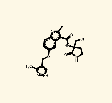 Cc1oc2ccc(OCc3c[nH]nc3C(F)(F)F)cc2c1C(=O)NC1(CO)CCNC1=O